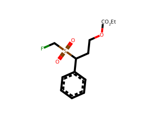 CCOC(=O)OCCC(c1ccccc1)S(=O)(=O)CF